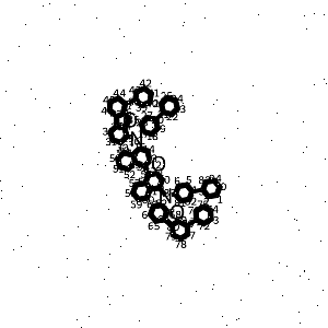 c1ccc(-c2ccc(N(c3cc4oc5cc(N(c6ccc(-c7ccccc7)cc6)c6cccc7c6oc6c(-c8ccccc8)cccc67)c6ccccc6c5c4c4ccccc34)c3cccc4c3oc3c(-c5ccccc5)cccc34)cc2)cc1